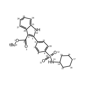 CC(C)(C)OC(=O)c1c(-c2ccc(S(=O)(=O)NC3CCCCC3)cc2)[nH]c2ccccc12